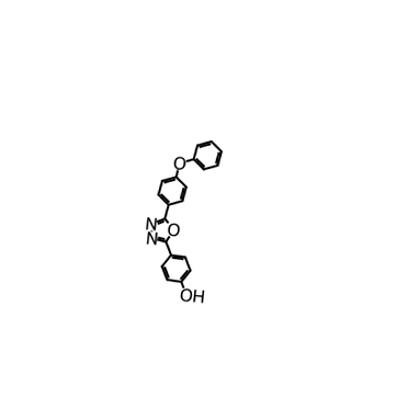 Oc1ccc(-c2nnc(-c3ccc(Oc4ccccc4)cc3)o2)cc1